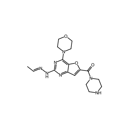 C/C=N/Nc1nc(N2CCOCC2)c2oc(C(=O)N3CCNCC3)cc2n1